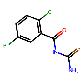 NC(=S)NC(=O)c1cc(Br)ccc1Cl